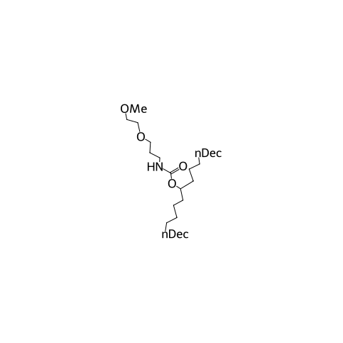 CCCCCCCCCCCCCCC(CCCCCCCCCCCCC)OC(=O)NCCCOCCOC